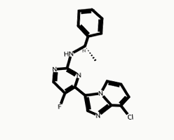 C[C@H](Nc1ncc(F)c(-c2cnc3c(Cl)cccn23)n1)c1cc[c]cc1